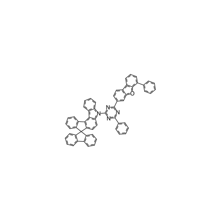 c1ccc(-c2nc(-c3ccc4c(c3)oc3c(-c5ccccc5)cccc34)nc(-n3c4ccccc4c4c5c(ccc43)C3(c4ccccc4-c4ccccc43)c3ccccc3-5)n2)cc1